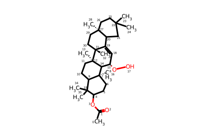 CC(=O)OC1CC[C@@]2(C)C(CC[C@]3(C)C2[C@@H](OO)C=C2C4CC(C)(C)CC[C@]4(C)CC[C@]23C)C1(C)C